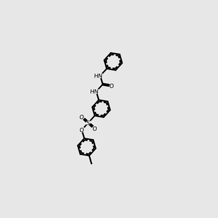 Cc1ccc(OS(=O)(=O)c2cccc(NC(=O)Nc3ccccc3)c2)cc1